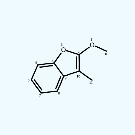 COc1oc2ccccc2c1C